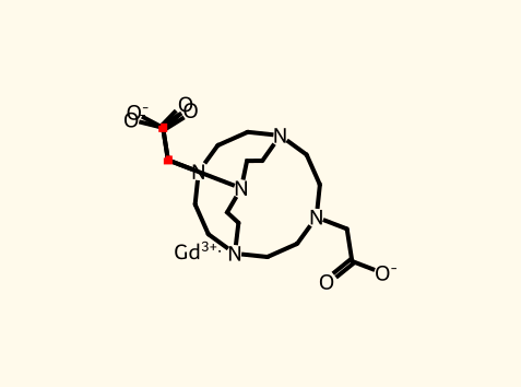 O=C([O-])CN1CCN2CCN(CC(=O)[O-])CCN(CC1)CCN(CC(=O)[O-])CC2.[Gd+3]